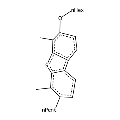 CCCCCCOc1ccc2c(sc3c(C)c(CCCCC)ccc32)c1C